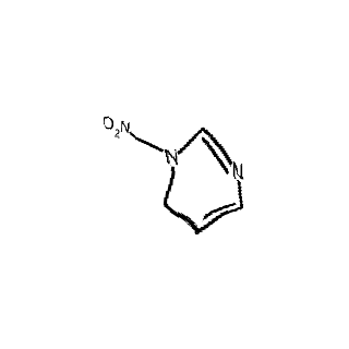 O=[N+]([O-])N1C=NC=CC1